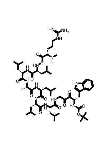 CN[C@@H](CCCNC(=N)N)C(=O)SN[C@@H](CC(C)C)C(=O)N[C@@H](CC(C)C)C(=O)N[C@@H](C)C(=O)N[C@@H](CC(C)C)C(=O)N[C@@H](CC(C)C)C(=O)N[C@@H](CC(C)C)C(=O)NCC(=O)C(=O)[C@H](Cc1c[nH]c2ccccc12)NC(=O)OC(C)(C)C